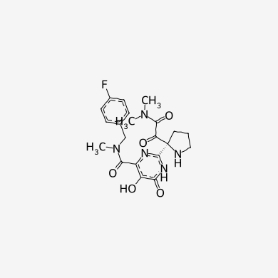 CN(C)C(=O)C(=O)[C@@]1(c2nc(C(=O)N(C)Cc3ccc(F)cc3)c(O)c(=O)[nH]2)CCCN1